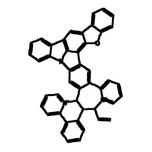 C=CC1C2c3ccccc3-c3cccc[n+]3C2c2cc3c(cc2-c2cccc[n+]21)c1c2oc4ccccc4c2cc2c4ccccc4n3c21